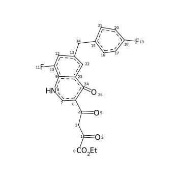 CCOC(=O)C(=O)CC(=O)c1c[nH]c2c(F)cc(Cc3ccc(F)cc3)cc2c1=O